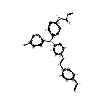 C=CC(=O)Oc1ccc(N(c2ccc(C)cc2)c2ccc(C=Cc3ccc(C=C)cc3)cc2)cc1